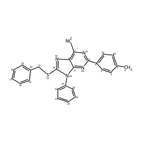 Cc1ccc(-c2nc(C#N)c3nc(SCc4ccccc4)n(-c4ccccc4)c3n2)cc1